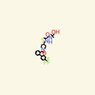 CC(C)(CO)NC(=O)c1csc(C2CCN(C(=O)c3ccccc3-c3ccc(C(F)(F)F)cc3)CC2)n1